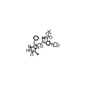 CC(C)(C)OC(=O)Nc1cc(N2CCOCC2)ccc1NC(=O)Cc1nc2c(c(=O)[nH]c(=O)n2C2CC2)n1Cc1ccccc1